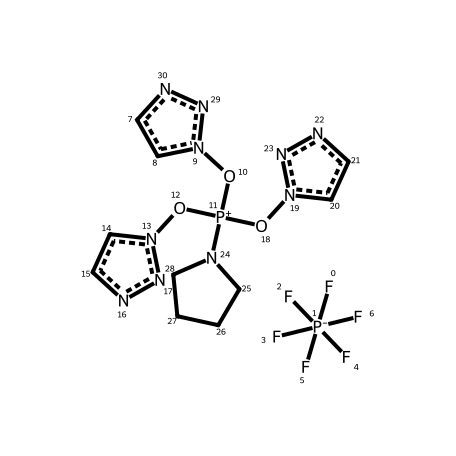 F[P-](F)(F)(F)(F)F.c1cn(O[P+](On2ccnn2)(On2ccnn2)N2CCCC2)nn1